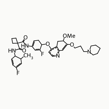 COC1Cc2c(OC3CC=C(NC(=O)C4(C(=O)NC5C=CC(F)=CC5C)CCC4)C=C3F)ccnc2C=C1OCCCN1CCCCC1